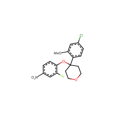 COc1cc(Cl)ccc1C1(Oc2ccc([N+](=O)[O-])cc2F)CCOCC1